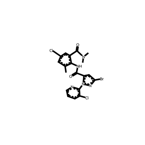 Cc1cc(Cl)cc(C(=O)N(C)C)c1NC(=O)c1cc(Br)nn1-c1ncccc1Cl